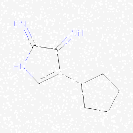 N=C1NC=C(C2CCCC2)C1=N